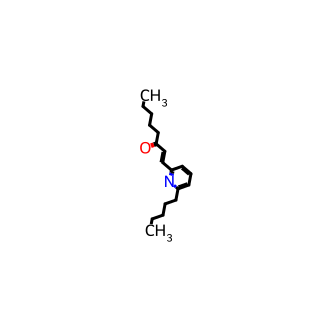 CCCCCC(=O)C=Cc1cccc(CCCCC)n1